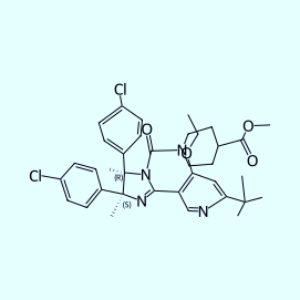 CCOc1cc(C(C)(C)C)ncc1C1=N[C@@](C)(c2ccc(Cl)cc2)[C@@](C)(c2ccc(Cl)cc2)N1C(=O)N1CCC(C(=O)OC)CC1